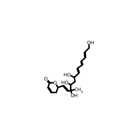 CC(O)(/C=C/C1CC=CC(=O)O1)C(O)CC(O)/C=C/C=C/C=C/CO